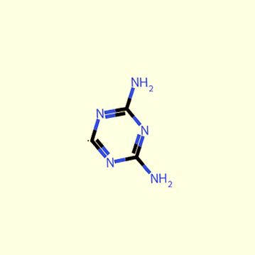 Nc1n[c]nc(N)n1